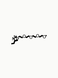 CCc1cn(CCOCCOCCOCCOC)nn1